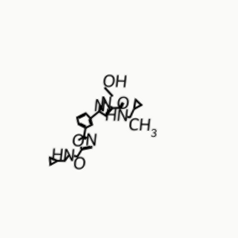 CC(NC(=O)c1cc(-c2cccc(-c3ncc(C(=O)NCC4CC4)o3)c2)nn1CCO)C1CC1